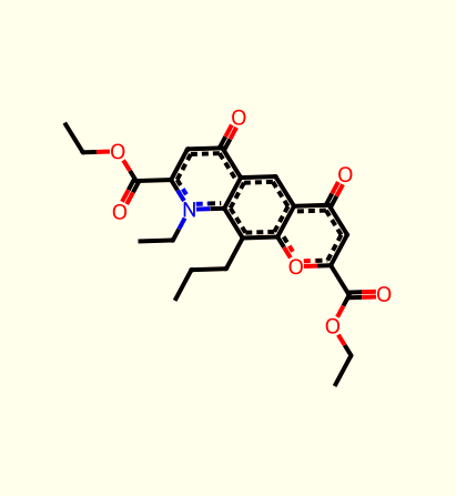 CCCc1c2oc(C(=O)OCC)cc(=O)c2cc2c(=O)cc(C(=O)OCC)n(CC)c12